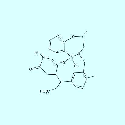 CCCn1ccc(C(CC(=O)O)c2ccc(C)c(CN3CC(C)Oc4ccccc4S3(O)O)c2)cc1=O